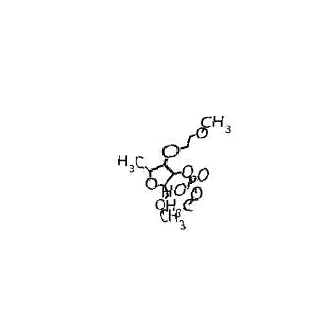 COCCOC1C(C)OC(COC)C1OP(=O)(O)OC